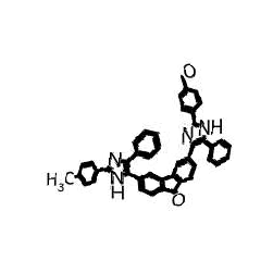 Cc1ccc(-c2nc(-c3ccccc3)c(-c3ccc4c(c3)-c3cc(-c5nc(-c6ccc(C=O)cc6)[nH]c5-c5ccccc5)ccc3C4=O)[nH]2)cc1